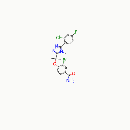 Cn1c(-c2ccc(F)cc2Cl)nnc1C(C)(C)Oc1ccc(C(N)=O)cc1Br